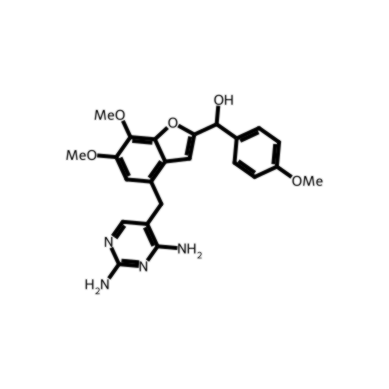 COc1ccc(C(O)c2cc3c(Cc4cnc(N)nc4N)cc(OC)c(OC)c3o2)cc1